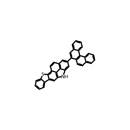 c1ccc2c(c1)ccc1c(-c3cc4ccc5c6sc7ccccc7c6cc6[nH]c(c3)c4c65)cc3ccccc3c12